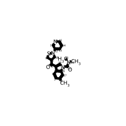 Cc1ccc2c(C(=O)C3CSN(c4cccnc4)C3)cn(C(=O)N(C)C)c2c1